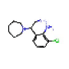 NCC(c1cccc(Cl)c1N)N1CCCCCC1